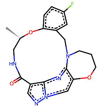 C[C@H]1CNC(=O)c2cnn3cc4c(nc23)N(CCCO4)Cc2cc(F)ccc2O1